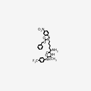 C[C@H](NC(=O)[C@@H](N)CCCCN(Sc1ccc([N+](=O)[O-])cc1)C(=O)OCc1ccccc1)C(=O)Nc1ccc(C(F)(F)F)cc1